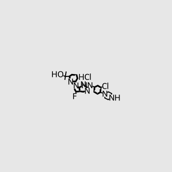 CC(C)(O)c1cccc(-n2cc(F)c3cnc(Nc4ccc(N5CCNCC5)c(Cl)c4)nc32)n1.Cl